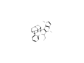 CCC1c2c(c3c(ccn3C)n2C)C2(C3CC4CC(C3)CC2C4)N1c1ccccc1C